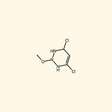 CON1N[C](Cl)C=C(Cl)N1